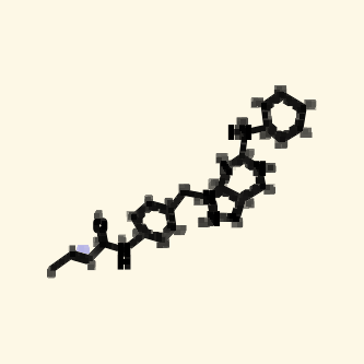 C/C=C/C(=O)Nc1ccc(Cn2ncc3cnc(Nc4ccccc4)nc32)cc1